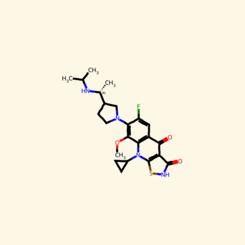 COc1c(N2CCC([C@@H](C)NC(C)C)C2)c(F)cc2c(=O)c3c(=O)[nH]sc3n(C3CC3)c12